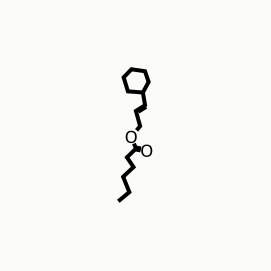 CCCCCC(=O)OCC=CC1CCCCC1